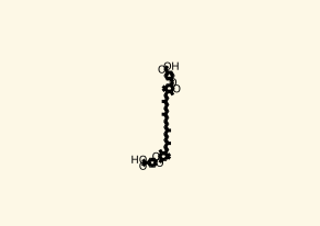 CC1=C(/C=C/C(C)=C/C=C/C(C)=C/C=C/C=C(C)/C=C/C=C(C)/C=C/C2=C(C)C(=O)C(Oc3ccc(C(=O)O)cc3)CC2(C)C)C(C)(C)CC(Oc2ccc(C(=O)O)cc2)C1=O